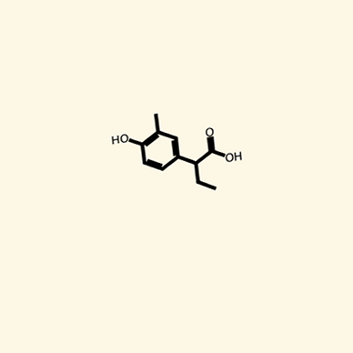 CCC(C(=O)O)c1ccc(O)c(C)c1